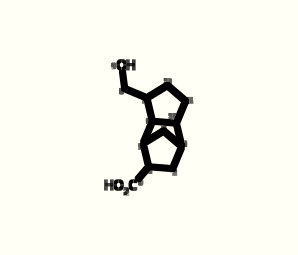 O=C(O)C1CC2CC1C1C(CO)CCC21